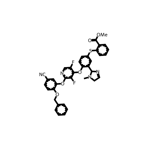 COC(=O)c1ccccc1Sc1ccc(Oc2c(F)cnc(Oc3cc(C#N)ccc3OCc3ccccc3)c2F)c(C2N=CCN2C)c1